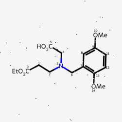 CCOC(=O)CCN(CC(=O)O)Cc1cc(OC)ccc1OC